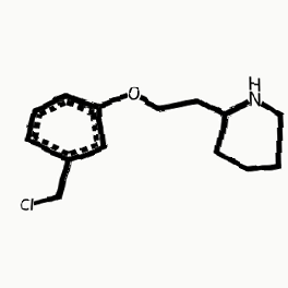 ClCc1cccc(OCCC2CCCCN2)c1